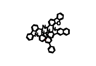 c1ccc(-c2ccc(-c3nc(-c4ccc5c(oc6ccccc65)c4-n4c5ccccc5c5cc6ccccc6cc54)nc(-c4cccc5c6ccccc6n(-c6ccccc6)c45)n3)cc2)cc1